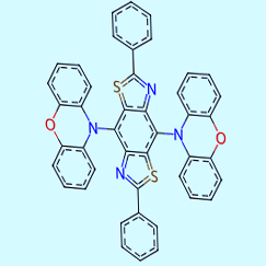 c1ccc(-c2nc3c(N4c5ccccc5Oc5ccccc54)c4sc(-c5ccccc5)nc4c(N4c5ccccc5Oc5ccccc54)c3s2)cc1